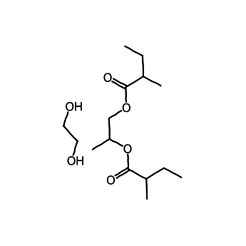 CCC(C)C(=O)OCC(C)OC(=O)C(C)CC.OCCO